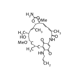 C=CCNC1=C2C[C@@H](C)C[C@H](OC)[C@H](O)[C@@H](C)/C=C(\C)[C@H](OC(N)=O)[C@@H](OC)/C=C/C=C(/C)C(=O)NC(=CC1=O)C2=O